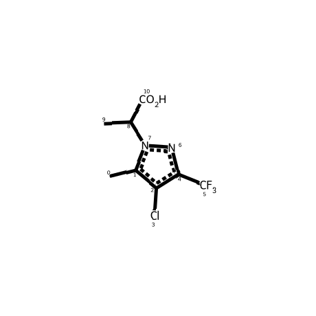 Cc1c(Cl)c(C(F)(F)F)nn1C(C)C(=O)O